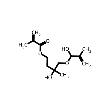 C=C(C)C(=O)OCCC(C)(O)COC(O)C(=C)C